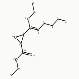 CCCCN=C(OCC)C1OC1C(=O)OCC